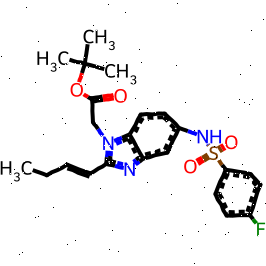 CC/C=C/c1nc2cc(NS(=O)(=O)c3ccc(F)cc3)ccc2n1CC(=O)OC(C)(C)C